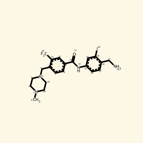 CN1CCN(Cc2ccc(C(=O)Nc3ccc(CN)c(I)c3)cc2C(F)(F)F)CC1